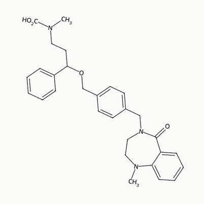 CN(CCC(OCc1ccc(CN2CCN(C)c3ccccc3C2=O)cc1)c1ccccc1)C(=O)O